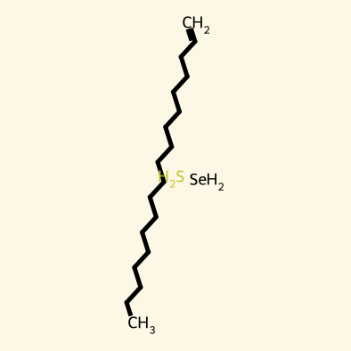 C=CCCCCCCCCCCCCCCCC.S.[SeH2]